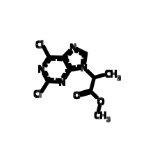 COC(=O)C(C)n1cnc2c(Cl)nc(Cl)nc21